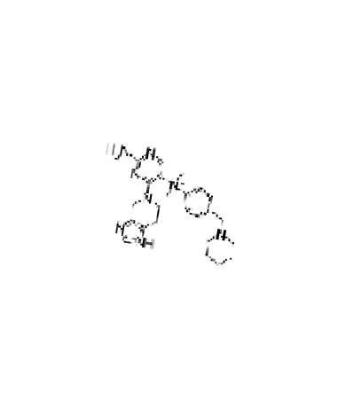 C[N+](C)(c1ccc(CN2CCCCC2)cc1)c1cnc(N)nc1N1CCc2[nH]cnc2C1